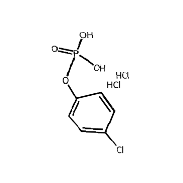 Cl.Cl.O=P(O)(O)Oc1ccc(Cl)cc1